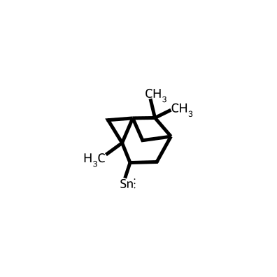 CC1(C)C2C[CH]([Sn])C3(C)CC13C2